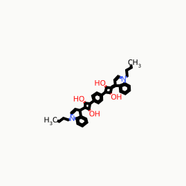 CCCCN1C=CC(=C2C(O)C(c3ccc(C4C(O)C(C5C=CN(CCCC)c6ccccc65)C4O)cc3)C2O)c2ccccc21